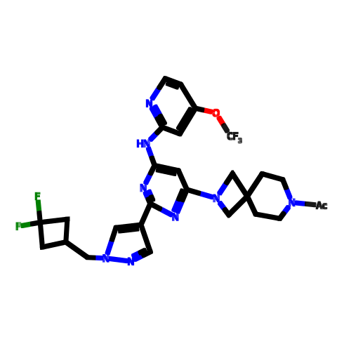 CC(=O)N1CCC2(CC1)CN(c1cc(Nc3cc(OC(F)(F)F)ccn3)nc(-c3cnn(CC4CC(F)(F)C4)c3)n1)C2